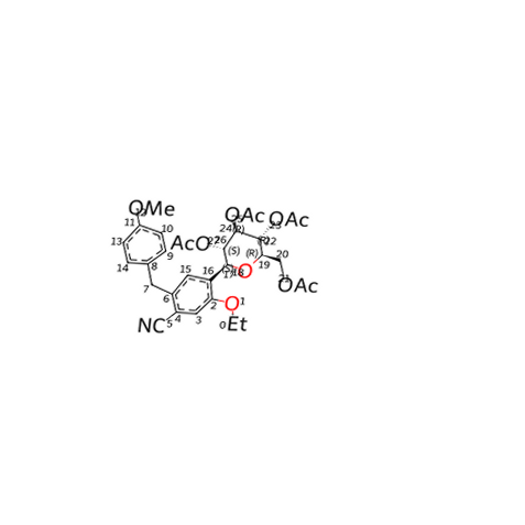 CCOc1cc(C#N)c(Cc2ccc(OC)cc2)cc1[C@@H]1O[C@H](COC(C)=O)[C@@H](OC(C)=O)[C@H](OC(C)=O)[C@H]1OC(C)=O